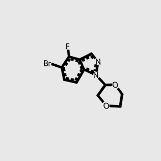 Fc1c(Br)ccc2c1cnn2C1COCCO1